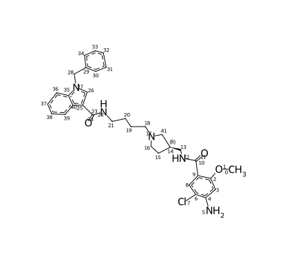 COc1cc(N)c(Cl)cc1C(=O)NC[C@H]1CCN(CCCCNC(=O)c2cn(Cc3ccccc3)c3ccccc23)C1